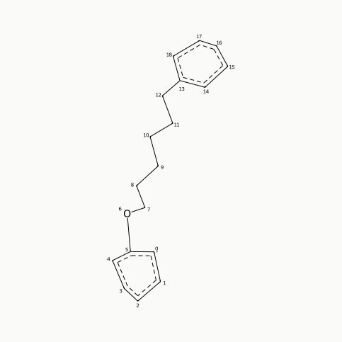 [c]1ccccc1OCCCCCCc1ccccc1